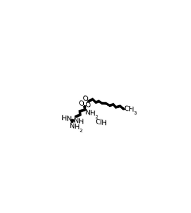 CCCCCCCCCCCC(=O)OC(=O)C(N)CCCNC(=N)N.Cl